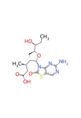 CC[C@H](O)[C@@H]1C[C@@H]([C@H](C)CC(=O)O)[C@H](n2c(=O)sc3cnc(N)nc32)O1